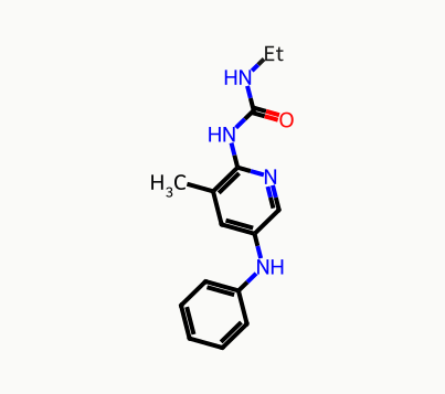 CCNC(=O)Nc1ncc(Nc2ccccc2)cc1C